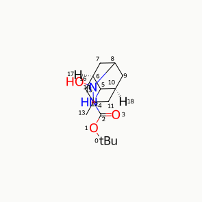 CC(C)(C)OC(=O)NC1[C@@H]2CC3C[C@H]1CC(C)(C2)N3O